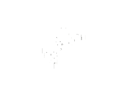 Cc1ccc(C[C@@H]2CN(CCC=O)CCN2C(=O)c2cc(C(F)(F)F)cc(C(F)(F)F)c2)cc1C